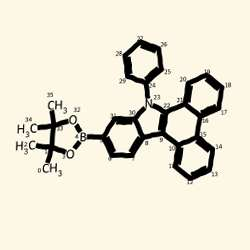 CC1(C)OB(c2ccc3c4c5ccccc5c5ccccc5c4n(-c4ccccc4)c3c2)OC1(C)C